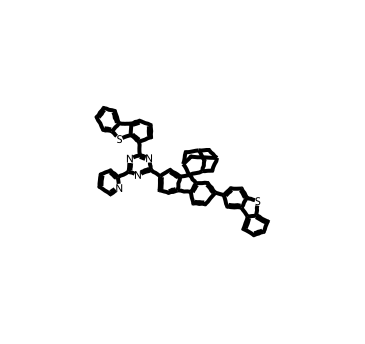 c1ccc(-c2nc(-c3ccc4c(c3)C3(c5cc(-c6ccc7sc8ccccc8c7c6)ccc5-4)C4CC5CC(C4)CC3C5)nc(-c3cccc4c3sc3ccccc34)n2)nc1